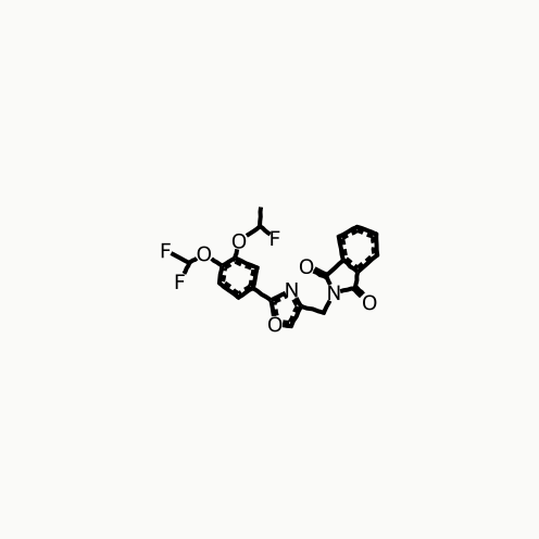 CC(F)Oc1cc(-c2nc(CN3C(=O)c4ccccc4C3=O)co2)ccc1OC(F)F